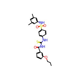 CCCOc1cccc(C(=O)NC(=S)Nc2ccc(S(=O)(=O)Nc3cc(C)cc(C)c3)cc2)c1